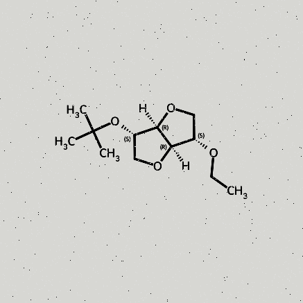 CCO[C@H]1CO[C@H]2[C@@H]1OC[C@@H]2OC(C)(C)C